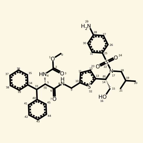 COC(=O)N[C@H](C(=O)NCc1ccc([C@@H](CO)N(CC(C)C)S(=O)(=O)c2ccc(N)cc2)s1)C(c1ccccc1)c1ccccc1